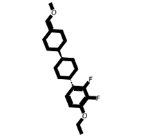 CCOc1ccc([C@H]2CC[C@H](C3CCC(=COC)CC3)CC2)c(F)c1F